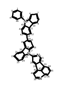 c1ccc(-n2c3ccccc3c3cc(-c4ccc5c(c4)c4ccccc4n5-c4cc5c(cn4)-c4cccc6nccc-5c46)ccc32)cc1